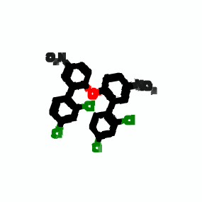 O=[N+]([O-])c1ccc(Oc2ccc([N+](=O)[O-])cc2-c2ccc(Cl)cc2Cl)c(-c2ccc(Cl)cc2Cl)c1